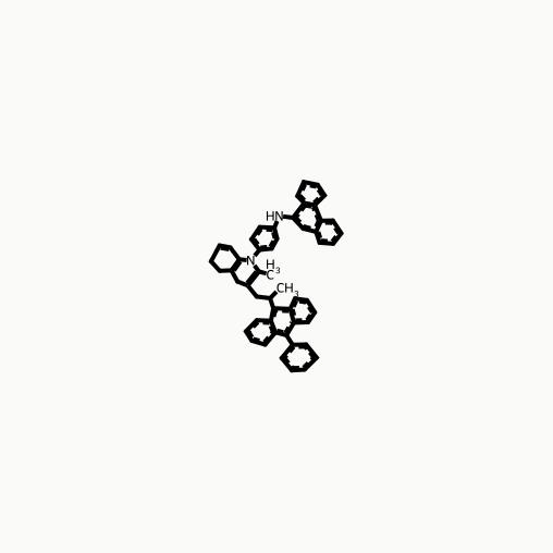 CC1=C(CC(C)c2c3ccccc3c(-c3ccccc3)c3ccccc23)CC2=C(C=CCC2)N1c1ccc(Nc2cc3ccccc3c3ccccc23)cc1